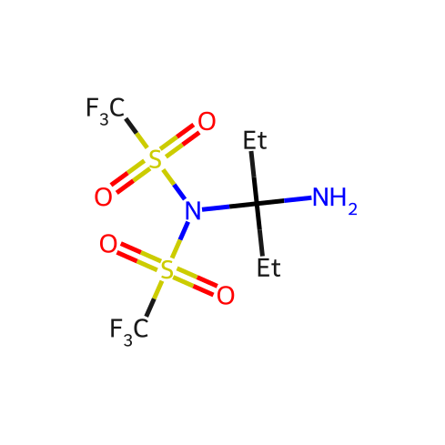 CCC(N)(CC)N(S(=O)(=O)C(F)(F)F)S(=O)(=O)C(F)(F)F